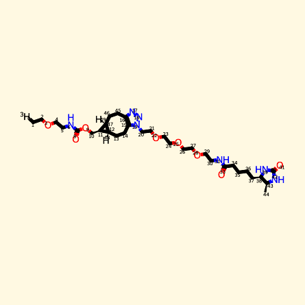 [3H]CCOCCNC(=O)OC[C@@H]1[C@@H]2CCc3c(nnn3CCOCCOCCOCCNC(=O)CCCC[C@H]3NC(=O)N[C@H]3C)CC[C@@H]21